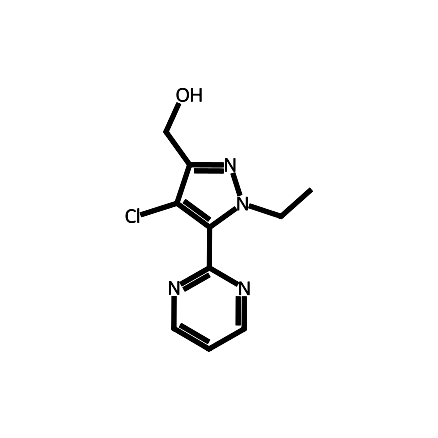 CCn1nc(CO)c(Cl)c1-c1ncccn1